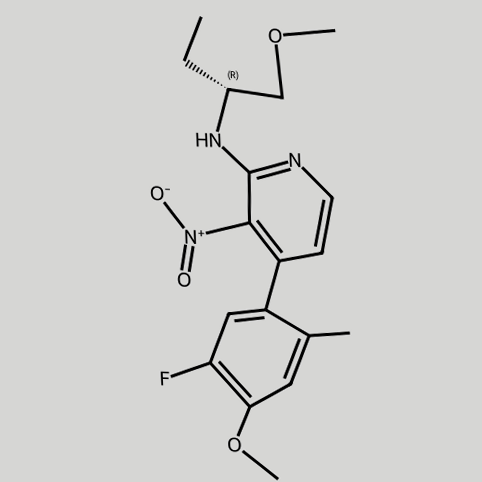 CC[C@H](COC)Nc1nccc(-c2cc(F)c(OC)cc2C)c1[N+](=O)[O-]